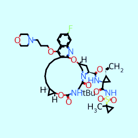 C=C[C@@H]1C[C@]1(NC(=O)[C@@H]1C[C@@H]2CN1C(=O)[C@H](C(C)(C)C)NC(=O)O[C@@H]1C[C@H]1CCCCCc1c(nc3cc(F)ccc3c1OCCCN1CCOCC1)O2)C(=O)NS(=O)(=O)C1(C)CC1